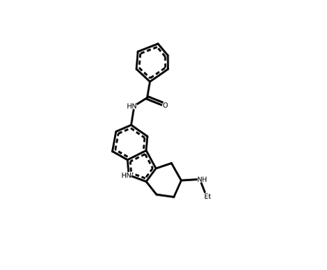 CCNC1CCc2[nH]c3ccc(NC(=O)c4ccccc4)cc3c2C1